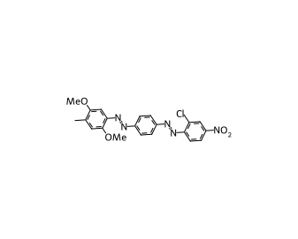 COc1cc(N=Nc2ccc(N=Nc3ccc([N+](=O)[O-])cc3Cl)cc2)c(OC)cc1C